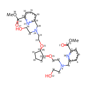 COC(=O)c1cccc(CN(CCO)CCO[C@H]2CCC[C@H]2OCCN(CCO)Cc2cccc(C(=O)OC)n2)n1